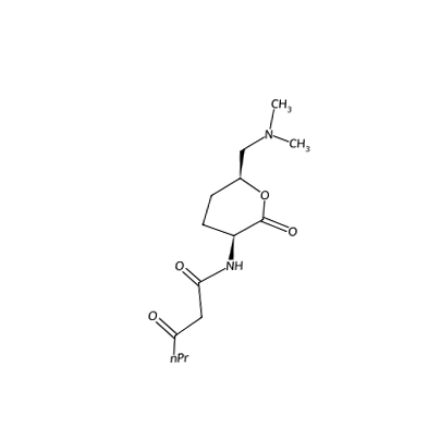 CCCC(=O)CC(=O)N[C@H]1CC[C@@H](CN(C)C)OC1=O